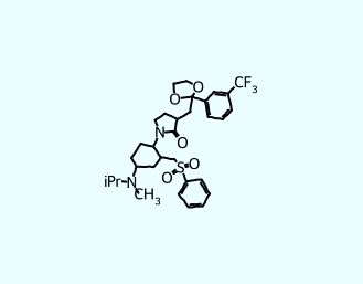 CC(C)N(C)C1CCC(N2CCC(CC3(c4cccc(C(F)(F)F)c4)OCCO3)C2=O)C(CS(=O)(=O)c2ccccc2)C1